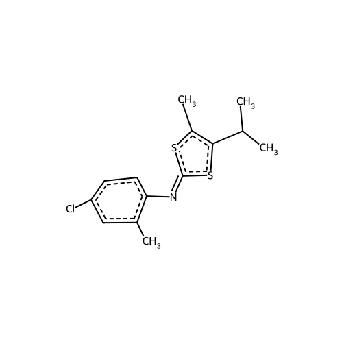 Cc1cc(Cl)ccc1N=c1sc(C)c(C(C)C)s1